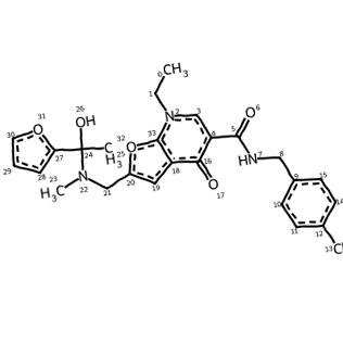 CCn1cc(C(=O)NCc2ccc(Cl)cc2)c(=O)c2cc(CN(C)C(C)(O)c3ccco3)oc21